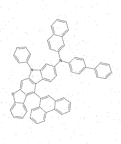 c1ccc(-c2ccc(N(c3ccc4ccccc4c3)c3ccc4c5c(-c6cc7ccccc7c7ccccc67)c6c(cc5n(-c5ccccc5)c4c3)oc3ccccc36)cc2)cc1